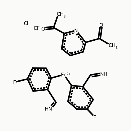 CC(=O)c1cccc(C(C)=O)n1.N=Cc1cc(F)cc[c]1[Fe+2][c]1ccc(F)cc1C=N.[Cl-].[Cl-]